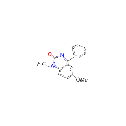 COc1ccc2c(c1)c(-c1ccccc1)nc(=O)n2CC(F)(F)F